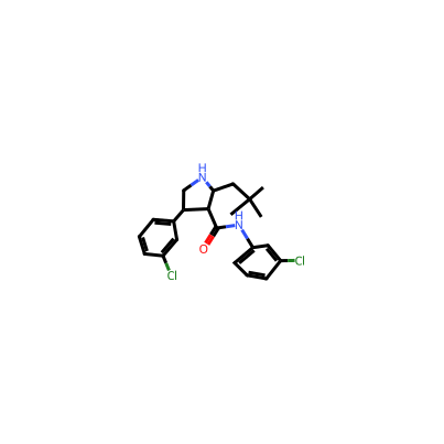 CC(C)(C)CC1NCC(c2cccc(Cl)c2)C1C(=O)Nc1cccc(Cl)c1